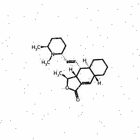 C[C@@H]1OC(=O)C2=C[C@H]3CCCC[C@@H]3[C@@H](/C=C/[C@H]3CCC[C@H](C)N3C)[C@H]21